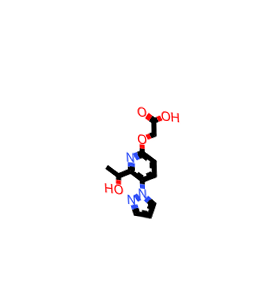 CC(O)c1nc(OCC(=O)O)ccc1-n1cccn1